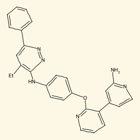 CCc1cc(-c2ccccc2)nnc1Nc1ccc(Oc2ncccc2-c2ccnc(N)c2)cc1